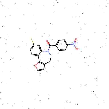 O=C(c1ccc([N+](=O)[O-])cc1)N1CCc2ccoc2-c2ccc(F)cc21